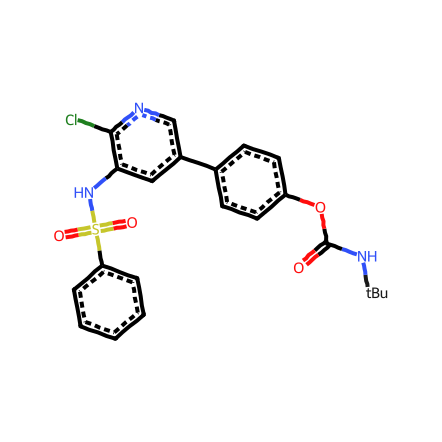 CC(C)(C)NC(=O)Oc1ccc(-c2cnc(Cl)c(NS(=O)(=O)c3ccccc3)c2)cc1